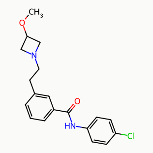 COC1CN(CCc2cccc(C(=O)Nc3ccc(Cl)cc3)c2)C1